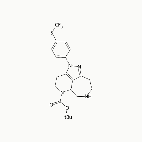 CC(C)(C)OC(=O)N1CCc2c3c(nn2-c2ccc(SC(F)(F)F)cc2)CCNCC31